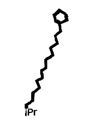 CC(C)CCCCCCCCCCCCCCc1ccccc1